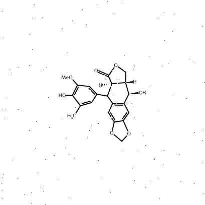 COc1cc(C2c3cc4c(cc3[C@H](O)[C@H]3COC(=O)[C@H]23)OCO4)cc(C)c1O